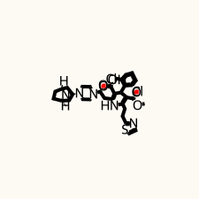 COC(=O)C1=C(CCc2nccs2)NC(CC(=O)N2CCN([C@@H]3C[C@H]4CC[C@@H](C3)N4C)CC2)=C(C(=O)O)C1c1c(Cl)cccc1Cl